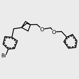 Brc1ccc(CC23CC(COCOCc4ccccc4)(C2)C3)cc1